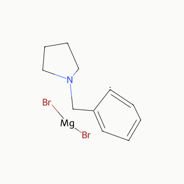 [Br][Mg][Br].[c]1ccccc1CN1CCCC1